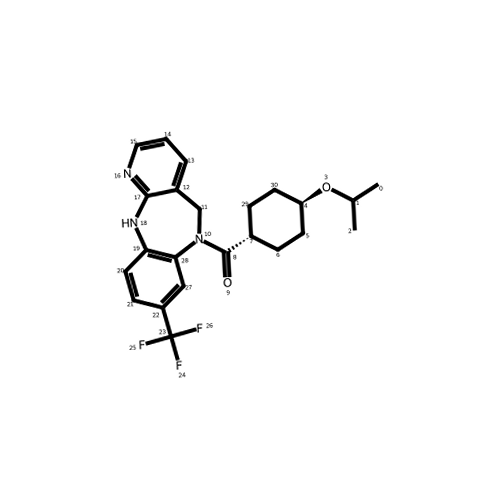 CC(C)O[C@H]1CC[C@H](C(=O)N2Cc3cccnc3Nc3ccc(C(F)(F)F)cc32)CC1